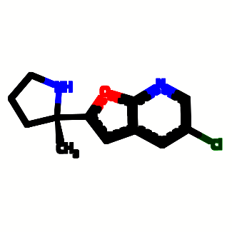 C[C@@]1(c2cc3cc(Cl)cnc3o2)CCCN1